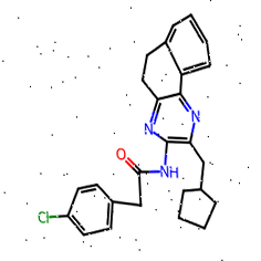 O=C(Cc1ccc(Cl)cc1)Nc1nc2c(nc1CC1CCCC1)-c1ccccc1CC2